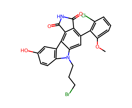 COc1cccc(Cl)c1-c1cc2c(c3c1C(=O)NC3=O)c1cc(O)ccc1n2CCCBr